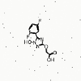 O=C(O)COc1nc(-c2cc(F)ccc2F)n(O)n1